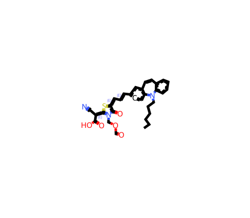 CCCCCCN1c2ccccc2C=Cc2cc(/C=C/C=c3/s/c(=C(\C#N)C(=O)O)n(COC=O)c3=O)ccc21